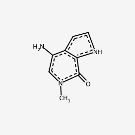 Cn1cc(N)c2cc[nH]c2c1=O